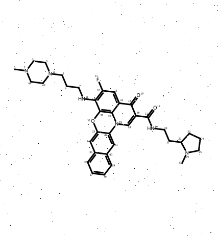 CN1CCN(CCCNc2c(F)cc3c(=O)c(C(=O)NCCC4CCCN4C)cn4c3c2Oc2cc3ccccc3cc2-4)CC1